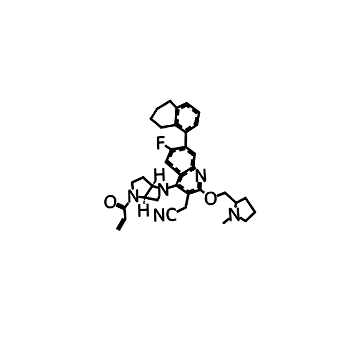 C=CC(=O)N1CC[C@@H]2[C@H]1CN2c1c(CC#N)c(OCC2CCCN2C)nc2cc(-c3cccc4c3CCCC4)c(F)cc12